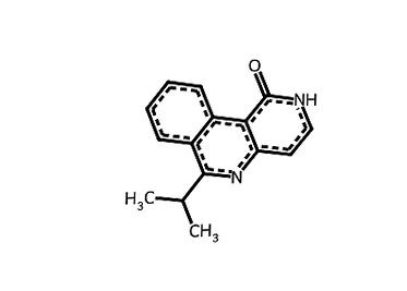 CC(C)c1nc2cc[nH]c(=O)c2c2ccccc12